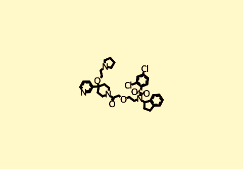 O=C(COCCN(C1CCc2ccccc21)S(=O)(=O)c1ccc(Cl)cc1Cl)N1CCC(OCCN2CCCC2)(c2cccnc2)CC1